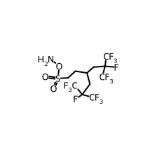 NOS(=O)(=O)CCC(CC(F)(C(F)(F)F)C(F)(F)F)CC(F)(C(F)(F)F)C(F)(F)F